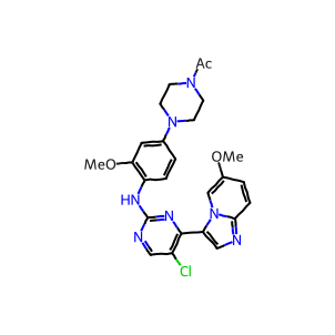 COc1ccc2ncc(-c3nc(Nc4ccc(N5CCN(C(C)=O)CC5)cc4OC)ncc3Cl)n2c1